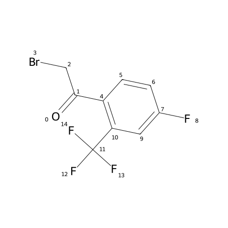 O=C(CBr)c1ccc(F)cc1C(F)(F)F